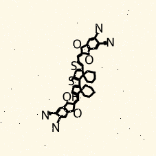 N#Cc1cc2c(cc1C#N)C(=O)C(=Cc1cc3c(s1)-c1sc4c(c1C31CCCCC1)C1(CCCCC1)C(/C=C1/C(=O)c3cc(C#N)c(C#N)cc3C1O)=C4)C2=O